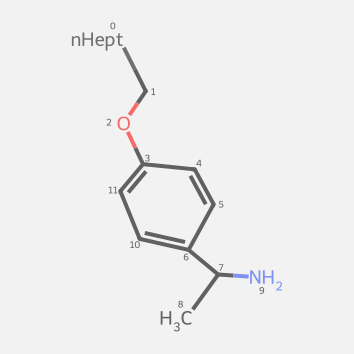 CCCCCCCCOc1ccc(C(C)N)cc1